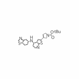 CC(C)(C)OC(=O)N1CC=C(c2cc3c(Nc4ccc5scnc5c4)ccnc3s2)C1